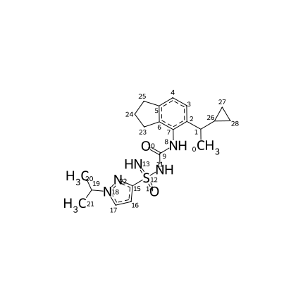 CC(c1ccc2c(c1NC(=O)NS(=N)(=O)c1ccn(C(C)C)n1)CCC2)C1CC1